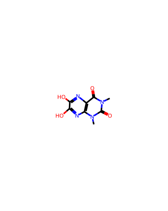 Cn1c(=O)c2nc(O)c(O)nc2n(C)c1=O